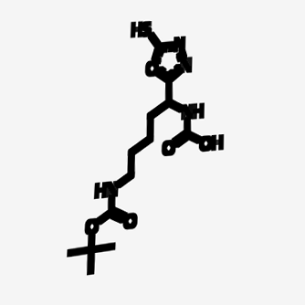 CC(C)(C)OC(=O)NCCCCC(NC(=O)O)c1nnc(S)o1